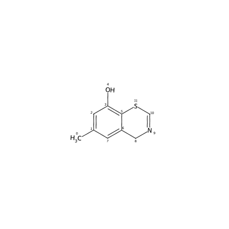 Cc1cc(O)c2c(c1)CN=CS2